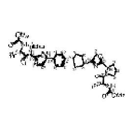 CCCCN(C(=O)[C@@H](NC(=O)OC)C(C)C)c1ncc(-c2ccc([C@H]3CC[C@H](c4coc(C5CCCN5C(=O)[C@@H](NC(=O)OC)C(C)C)n4)CC3)cc2)[nH]1